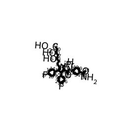 CC(C)n1c(CC[C@@H](O)C[C@@H](O)CC(=O)O)c(-c2ccc(F)cc2)c(-c2ccc(F)cc2)c1C(=O)Nc1ccc(C(N)=O)cc1